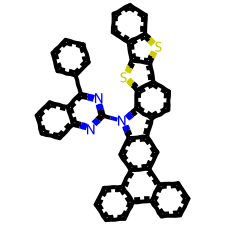 c1ccc(-c2nc(-n3c4cc5c6ccccc6c6ccccc6c5cc4c4ccc5c6sc7ccccc7c6sc5c43)nc3ccccc23)cc1